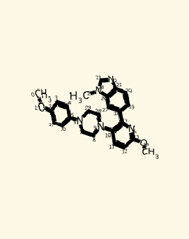 COc1ccc(N2CCN(c3ccc(OC)nc3-c3ccc4ncn(C)c4c3)CC2)cc1